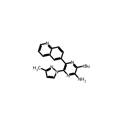 Cc1ccn(-c2nc(N)c(C(C)(C)C)nc2-c2ccc3ncccc3c2)n1